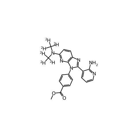 [2H]C([2H])([2H])N(c1ccc2nc(-c3cccnc3N)n(-c3ccc(C(=O)OC)cc3)c2n1)C([2H])([2H])[2H]